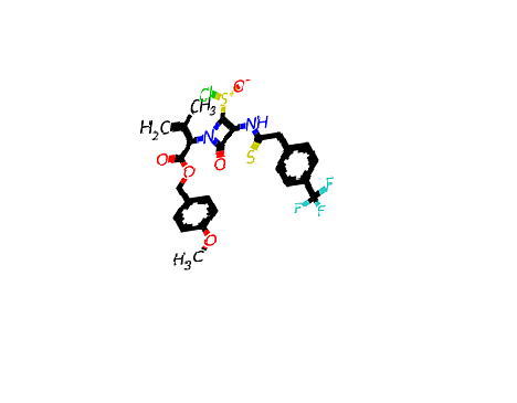 C=C(C)C(C(=O)OCc1ccc(OC)cc1)N1C(=O)C(NC(=S)Cc2ccc(C(F)(F)F)cc2)C1[S+]([O-])Cl